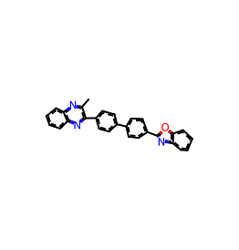 Cc1nc2ccccc2nc1-c1ccc(-c2ccc(-c3nc4ccccc4o3)cc2)cc1